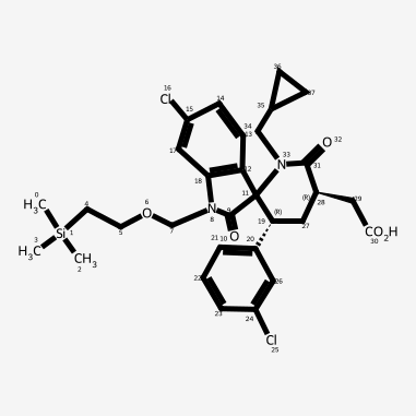 C[Si](C)(C)CCOCN1C(=O)C2(c3ccc(Cl)cc31)[C@@H](c1cccc(Cl)c1)C[C@H](CC(=O)O)C(=O)N2CC1CC1